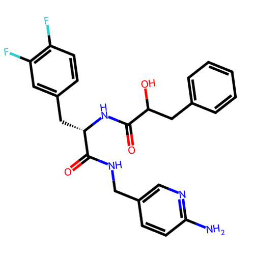 Nc1ccc(CNC(=O)[C@H](Cc2ccc(F)c(F)c2)NC(=O)C(O)Cc2ccccc2)cn1